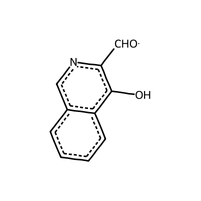 O=[C]c1ncc2ccccc2c1O